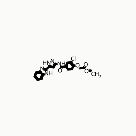 CCOC(=O)COc1ccc(C(=O)Nc2cc(-c3nc4ccccc4[nH]3)[nH]n2)cc1Cl